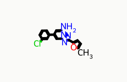 Cc1ccc(-c2nc3cc(-c4cccc(Cl)c4)cc(N)n3n2)o1